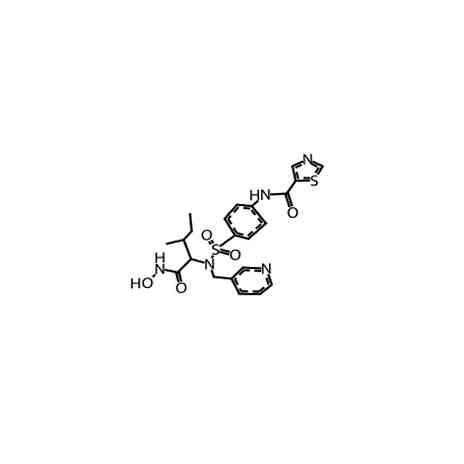 CCC(C)C(C(=O)NO)N(Cc1cccnc1)S(=O)(=O)c1ccc(NC(=O)c2cncs2)cc1